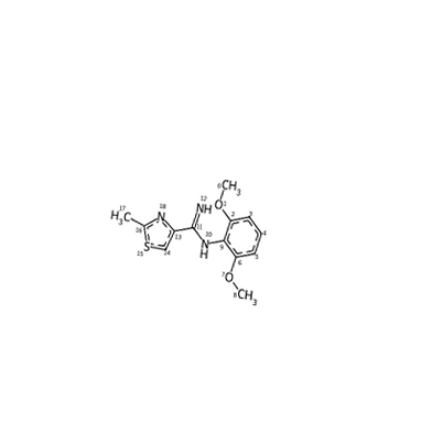 COc1cccc(OC)c1NC(=N)c1csc(C)n1